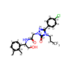 Cc1cccc(C(CO)NC(=O)Cn2nc(-c3ccc(Cl)cc3)n(CCC(F)(F)F)c2=O)c1C